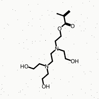 C=C(C)C(=O)OCCN(CCO)CCN(CCO)CCO